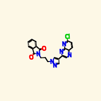 O=C1c2ccccc2C(=O)N1CCCn1cc(-c2cnc3ccc(Cl)nc3n2)cn1